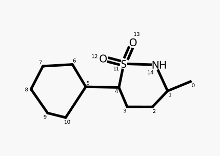 CC1CCC(C2CCCCC2)S(=O)(=O)N1